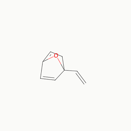 C=CC12C=CC(=CC1)O2